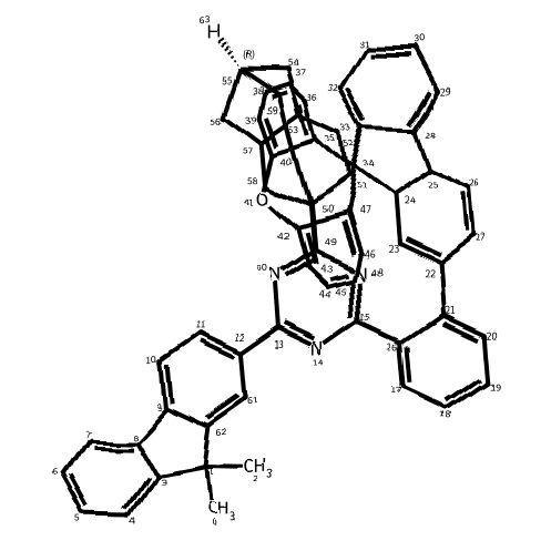 CC1(C)c2ccccc2-c2ccc(-c3nc(-c4ccccc4C4=CC5C(C=C4)c4ccccc4C54c5ccccc5Oc5ccccc54)nc(C45CCC6C[C@H](CC6C4)C5)n3)cc21